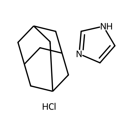 C1C2CC3CC1CC(C2)C3.Cl.c1c[nH]cn1